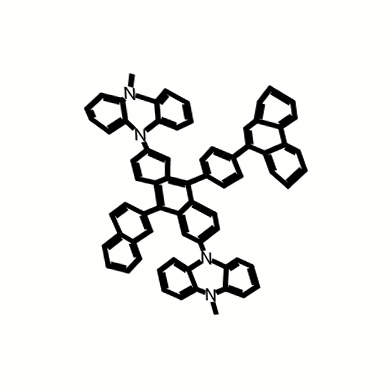 CN1c2ccccc2N(c2ccc3c(-c4ccc5ccccc5c4)c4cc(N5c6ccccc6N(C)c6ccccc65)ccc4c(-c4ccc(-c5cc6ccccc6c6ccccc56)cc4)c3c2)c2ccccc21